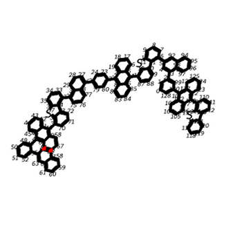 c1cc(-c2cc(-c3cccc4sc5c(-c6c7ccccc7c(-c7ccc(-c8cccc9c(-c%10cccc%11sc%12c(-c%13c%14ccccc%14c(-c%14ccccc%14-c%14ccc%15ccccc%15c%14)c%14ccccc%13%14)cccc%12c%10%11)cccc89)cc7)c7ccccc67)cccc5c34)cc3ccccc23)cc(-c2c3ccccc3c(-c3cccc4c3sc3ccccc34)c3ccccc23)c1